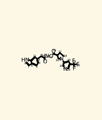 O=C(Cc1ccc2cc[nH]c2c1)NOC(=O)C1CCN(c2cncc(C(F)(F)F)c2)C1